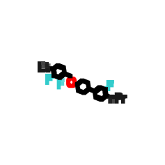 CCCc1ccc(C2CCC(OCc3ccc(CC)c(F)c3F)CC2)cc1F